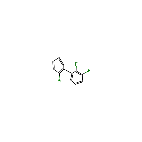 Fc1cccc(-c2ccc[c]c2Br)c1F